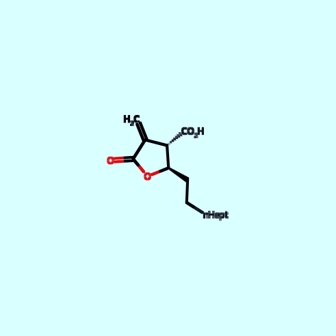 C=C1C(=O)O[C@H](CCCCCCCCC)[C@H]1C(=O)O